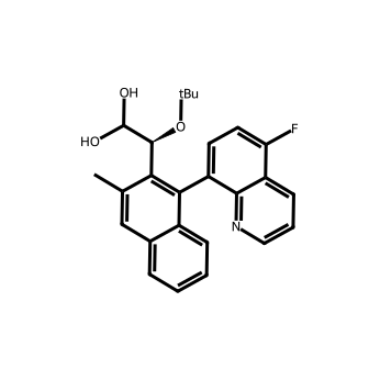 Cc1cc2ccccc2c(-c2ccc(F)c3cccnc23)c1[C@H](OC(C)(C)C)C(O)O